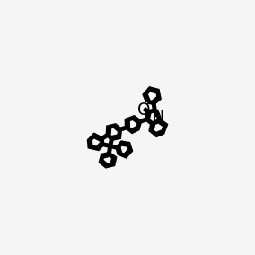 c1ccc(C2(c3ccccc3)c3ccccc3-c3ccc(-c4ccc(-c5c6ccccc6nc6c5oc5ccccc56)cc4)cc32)cc1